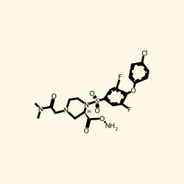 CN(C)C(=O)CN1CCN(S(=O)(=O)c2cc(F)c(Oc3ccc(Cl)cc3)c(F)c2)[C@@H](C(=O)ON)C1